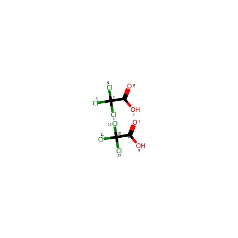 O=C(O)C(Cl)(Cl)Cl.O=C(O)C(Cl)(Cl)Cl